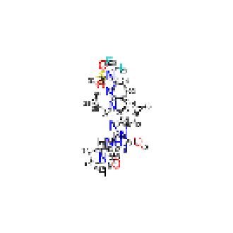 COc1cc(C(=O)N2[C@@H]3CC[C@@H](N)[C@H]2CC3)cc2nc(-c3cc4ccc(N(C(F)F)S(C)(=O)=O)nc4n3CC3CC3)c(CC3CC3)n12